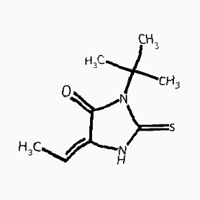 CC=C1NC(=S)N(C(C)(C)C)C1=O